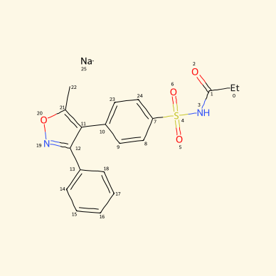 CCC(=O)NS(=O)(=O)c1ccc(-c2c(-c3ccccc3)noc2C)cc1.[Na]